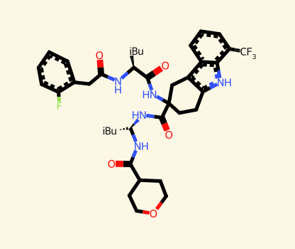 CCC(C)[C@H](NC(=O)Cc1ccccc1F)C(=O)NC1(C(=O)N[C@@H](NC(=O)C2CCOCC2)[C@@H](C)CC)CCc2[nH]c3c(C(F)(F)F)cccc3c2C1